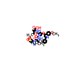 C=CC1C[C@]1(NC(=O)[C@@H]1C[C@@H](Oc2cc(-c3ccccc3)nc3cc(OC)ccc23)CN1C(=O)NC(C(=O)NC1CCS(=O)(=O)C1)C(C)(C)C)C(=O)O